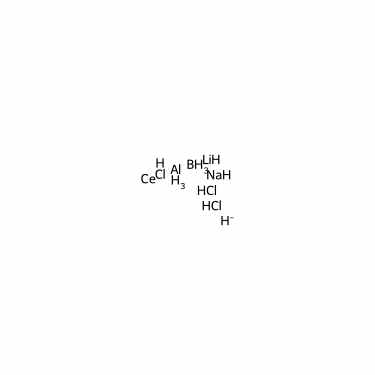 B.Cl.Cl.Cl.[AlH3].[Ce].[H-].[LiH].[NaH]